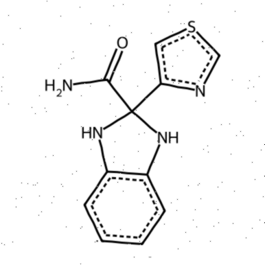 NC(=O)C1(c2cscn2)Nc2c[c]ccc2N1